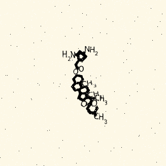 CC1CCC2(OC1)OC1CC3C4CCC5CC(OC(=O)Cc6ccc(N)cc6N)CCC5(C)C4CCC3(C)C1C2C